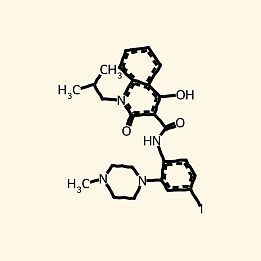 CC(C)Cn1c(=O)c(C(=O)Nc2ccc(I)cc2N2CCN(C)CC2)c(O)c2ccccc21